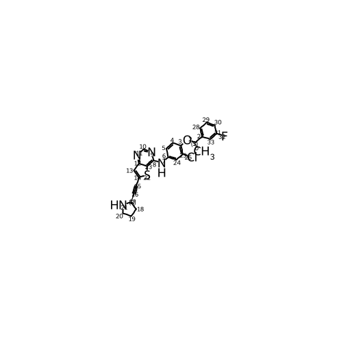 C[C@H](Oc1ccc(Nc2ncnc3cc(C#C[C@H]4CCCN4)sc23)cc1Cl)c1cccc(F)c1